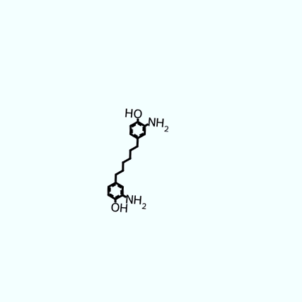 Nc1cc(CCCCCCc2ccc(O)c(N)c2)ccc1O